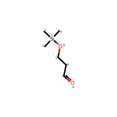 C[Si](C)(C)OCC[C]=O